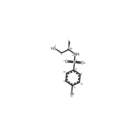 C[C@H](CS)NS(=O)(=O)c1ccc(Br)cc1